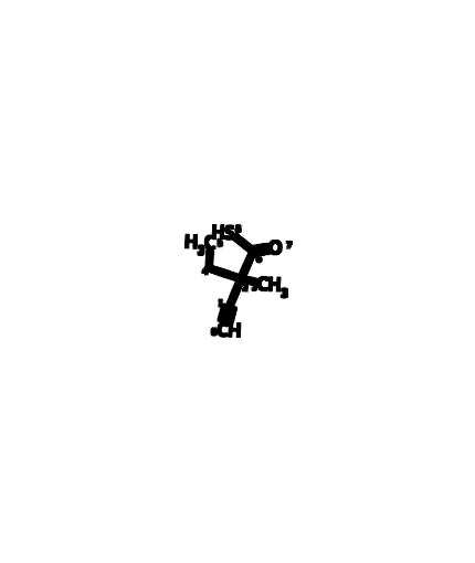 C#CC(C)(CC)C(=O)S